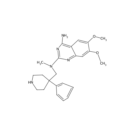 COc1cc2nc(N(C)CC3(c4ccccc4)CCNCC3)nc(N)c2cc1OC